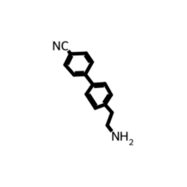 N#Cc1ccc(-c2ccc(CCN)cc2)cc1